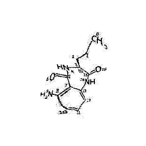 CCC[C@@H]1NC(=O)c2c(N)cccc2NC1=O